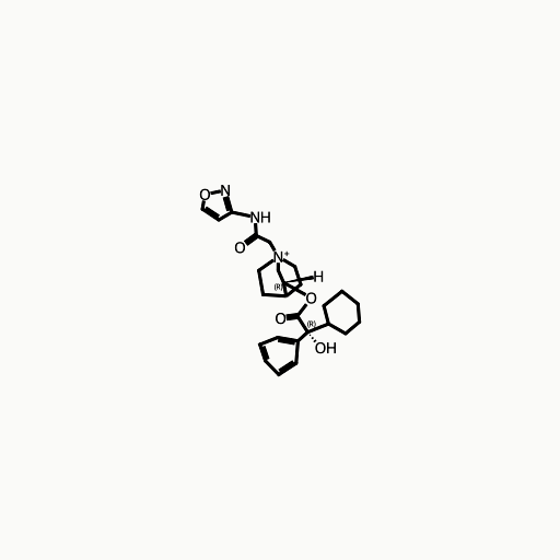 O=C(C[N+]12CCC(CC1)[C@@H](OC(=O)[C@](O)(c1ccccc1)C1CCCCC1)C2)Nc1ccon1